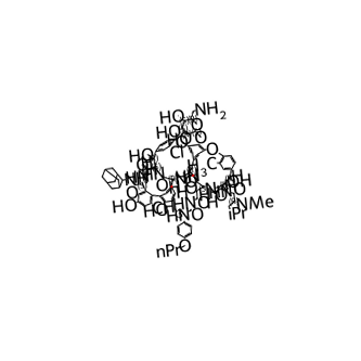 CCCOc1ccc(NC(=O)NC(=O)C[C@@H]2NC(=O)[C@H](NC(=O)[C@@H](CC(C)C)NC)[C@H](O)c3ccc(c(C)c3)Oc3cc4cc(c3O[C@@H]3O[C@H](CN)[C@@H](O)[C@H](O)[C@H]3O)Oc3ccc(cc3Cl)[C@@H](O)[C@@H]3NC(=O)[C@H](NC(=O)[C@@H]4NC2=O)c2ccc(O)c(c2)-c2c(C)cc(O)cc2[C@@H](C(=O)NC2C4CC5CC(C4)CC2C5)NC3=O)cc1